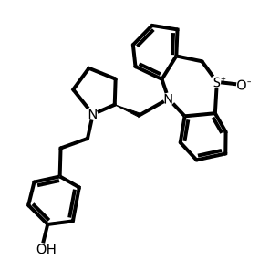 [O-][S+]1Cc2ccccc2N(C[C@@H]2CCCN2CCc2ccc(O)cc2)c2ccccc21